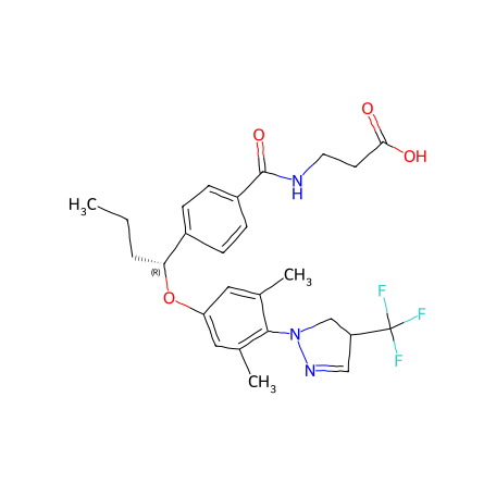 CCC[C@@H](Oc1cc(C)c(N2CC(C(F)(F)F)C=N2)c(C)c1)c1ccc(C(=O)NCCC(=O)O)cc1